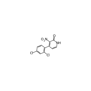 O=c1[nH]ccc(-c2ccc(Cl)cc2Cl)c1[N+](=O)[O-]